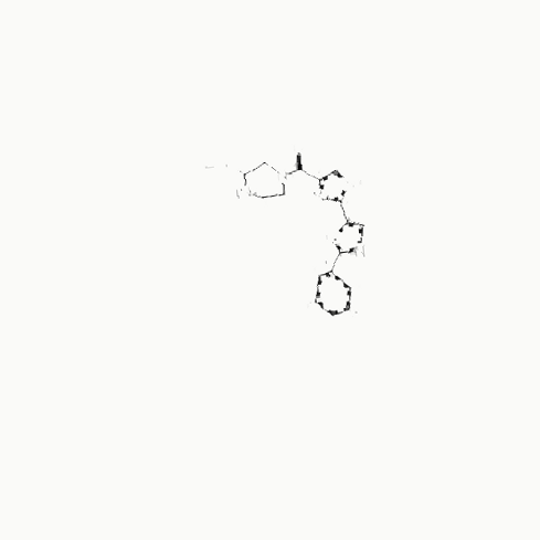 C[C@H]1CN(C(=O)c2csc(-c3cnc(-c4ccccc4)o3)n2)CCN1